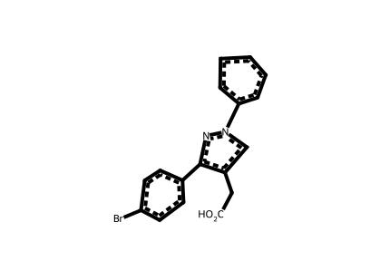 O=C(O)Cc1cn(-c2ccccc2)nc1-c1ccc(Br)cc1